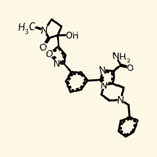 CN1CCC(O)(c2cc(-c3cccc(-c4nc(C(N)=O)c5n4CCN(Cc4ccccc4)C5)c3)no2)C1=O